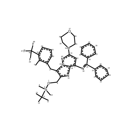 Cc1c(Cc2c(CO[Si](C)(C)C(C)(C)C)nc3c(N=C(c4ccccc4)c4ccccc4)cc(N4CCOCC4)nn23)cccc1C(F)(F)F